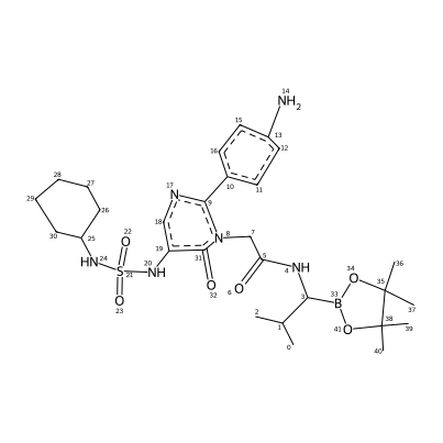 CC(C)C(NC(=O)Cn1c(-c2ccc(N)cc2)ncc(NS(=O)(=O)NC2CCCCC2)c1=O)B1OC(C)(C)C(C)(C)O1